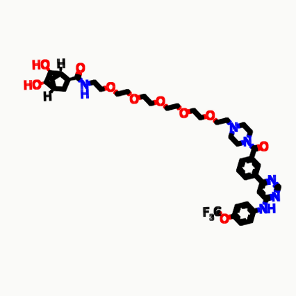 O=C(NCCOCCOCCOCCOCCOCCN1CCN(C(=O)c2cccc(-c3cc(Nc4ccc(OC(F)(F)F)cc4)ncn3)c2)CC1)[C@H]1C[C@@H]2C[C@H]1[C@@H](O)[C@H]2O